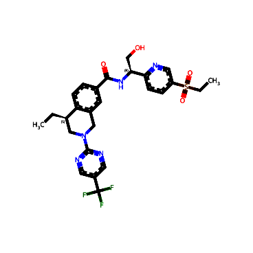 CC[C@@H]1CN(c2ncc(C(F)(F)F)cn2)Cc2cc(C(=O)N[C@@H](CO)c3ccc(S(=O)(=O)CC)cn3)ccc21